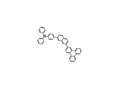 c1ccc(N(c2ccccc2)c2ccc(-c3ccc4ccc(-c5ccc6c7ccccc7c7ccccc7c6c5)cc4c3)cc2)cc1